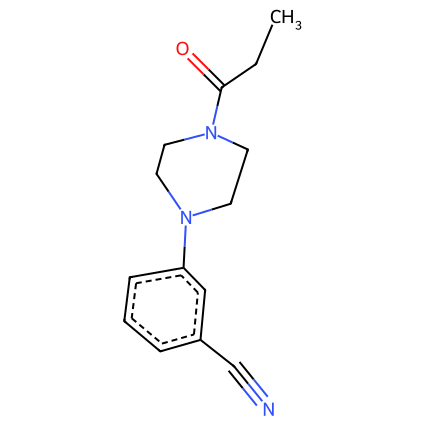 CCC(=O)N1CCN(c2cccc(C#N)c2)CC1